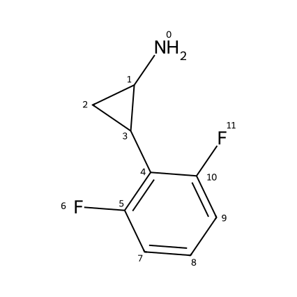 NC1CC1c1c(F)cccc1F